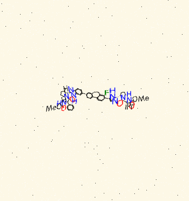 COC(=O)N[C@H](C(=O)N1CCC[C@H]1c1ncc(-c2ccc3c(c2F)CCc2cc(-c4ccc5nc([C@@H]6[C@H]7CC[C@H](C7)N6C(=O)[C@H](NC(=O)OC)c6ccccc6)[nH]c5c4)ccc2-3)[nH]1)C(C)C